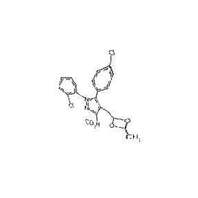 CC1OC(Cc2c(C(=O)O)nn(-c3ccccc3Cl)c2-c2ccc(Cl)cc2)O1